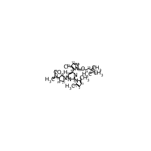 Cc1ccc(C)n1-c1nc(-c2c(Cl)cnn2COCC[Si](C)(C)C)cc(N2CCC(N(C)C(=O)O)C2)n1